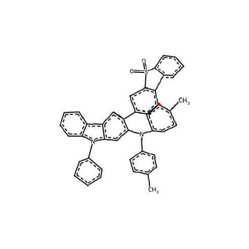 Cc1ccc(N(c2ccc(C)cc2)c2cc3c(cc2-c2ccc4c(c2)S(=O)(=O)c2ccccc2-4)c2ccccc2n3-c2ccccc2)cc1